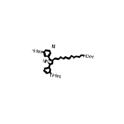 CCCCCCCCCCCCCCCCCCCC=CC1=C(c2cccc(CCCCCC)c2)[N+](=[N-])C(c2cccc(CCCCCC)c2)=C1.[Ni]